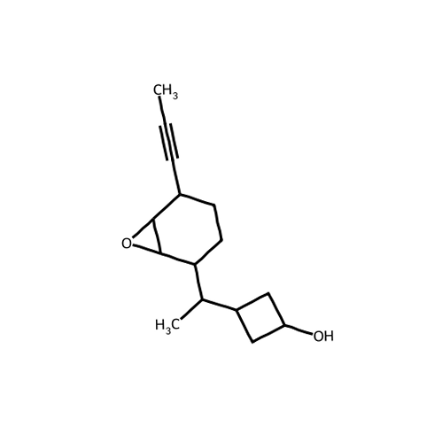 CC#CC1CCC(C(C)C2CC(O)C2)C2OC12